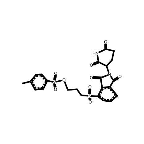 Cc1ccc(S(=O)(=O)OCCCS(=O)(=O)c2cccc3c2C(=O)N(C2CCC(=O)NC2=O)C3=O)cc1